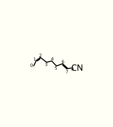 C/C=C\CCC/C=C/C#N